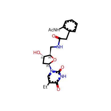 CCc1cn([C@H]2C[C@H](O)[C@@H](CNC(=O)Cc3ccccc3NC(C)=O)O2)c(=O)[nH]c1=O